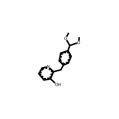 COC(OC)c1ccc(Cc2ncccc2O)cc1